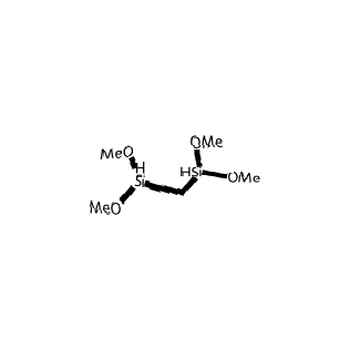 CO[SiH](C[SiH](OC)OC)OC